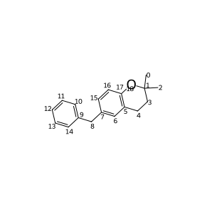 CC1(C)CCc2cc(Cc3ccccc3)ccc2O1